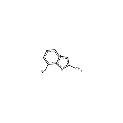 Cc1cn2cccc(C#N)c2n1